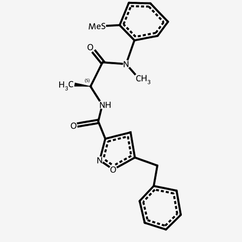 CSc1ccccc1N(C)C(=O)[C@H](C)NC(=O)c1cc(Cc2ccccc2)on1